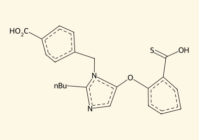 CCCCc1ncc(Oc2ccccc2C(O)=S)n1Cc1ccc(C(=O)O)cc1